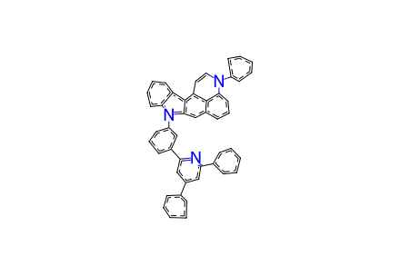 C1=CN(c2ccccc2)c2cccc3cc4c(c1c23)c1ccccc1n4-c1cccc(-c2cc(-c3ccccc3)cc(-c3ccccc3)n2)c1